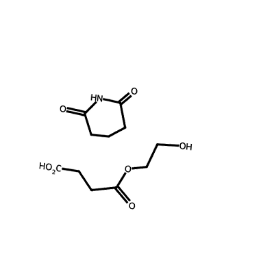 O=C(O)CCC(=O)OCCO.O=C1CCCC(=O)N1